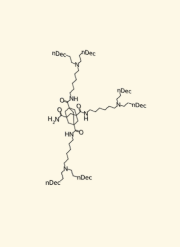 CCCCCCCCCCCCN(CCCCCCCCCCCC)CCCCCCNC(=O)C12CC3(C(N)=O)CC(C(=O)NCCCCCCN(CCCCCCCCCCCC)CCCCCCCCCCCC)(C1)CC(C(=O)NCCCCCCN(CCCCCCCCCCCC)CCCCCCCCCCCC)(C3)C2